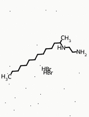 Br.Br.CCCCCCCCCCCCC(C)NCCN